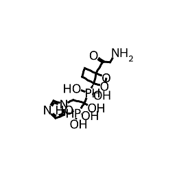 NCC(=O)C12CC[C@@]1([PH](O)(O)C(O)(Cn1ccnc1)[PH](O)(O)O)OO2